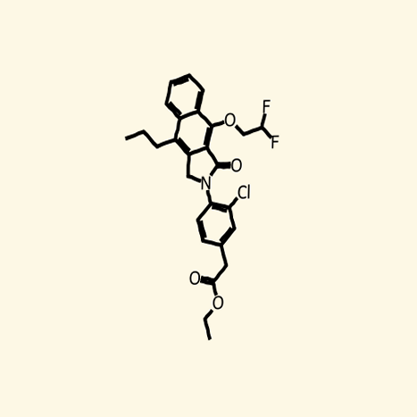 CCCc1c2c(c(OCC(F)F)c3ccccc13)C(=O)N(c1ccc(CC(=O)OCC)cc1Cl)C2